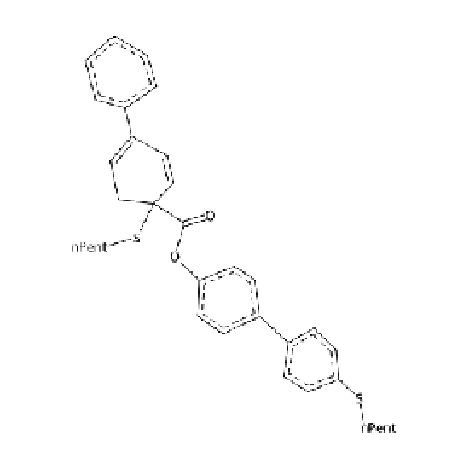 CCCCCSc1ccc(-c2ccc(OC(=O)C3(SCCCCC)C=CC(c4ccccc4)=CC3)cc2)cc1